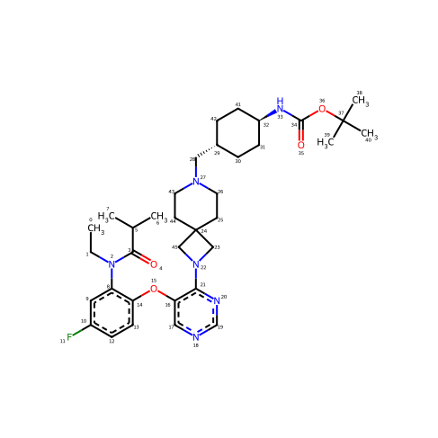 CCN(C(=O)C(C)C)c1cc(F)ccc1Oc1cncnc1N1CC2(CCN(C[C@H]3CC[C@H](NC(=O)OC(C)(C)C)CC3)CC2)C1